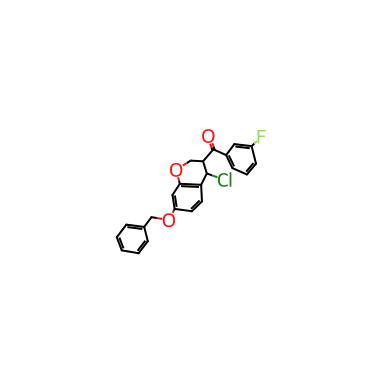 O=C(c1cccc(F)c1)C1COc2cc(OCc3ccccc3)ccc2C1Cl